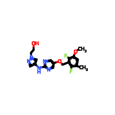 COc1cc(C)c(F)c(COc2cnc(Nc3cnn(CCO)c3)nc2)c1F